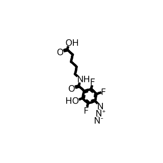 [N-]=[N+]=Nc1c(F)c(O)c(C(=O)NCCCCC(=O)O)c(F)c1F